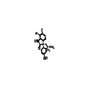 CC(C)CC1(c2ccc(O)cc2)C(=O)Nc2c1ccc(F)c2F